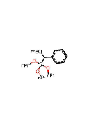 CCCO[Si](OCCC)(OCCC)C(OC)c1ccccc1